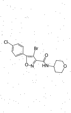 O=C(NC1CCOCC1)c1noc(-c2ccc(Cl)cc2)c1Br